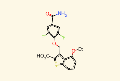 CCOc1cccc2sc(C(=O)O)c(COc3c(F)cc(C(N)=O)cc3F)c12